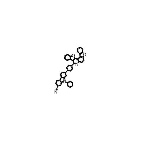 N#Cc1ccc2c3ccc(-c4ccc(-c5nc6ccc7oc8ccccc8c7c6c6oc7ccccc7c56)cc4)cc3n(-c3ccccc3)c2c1